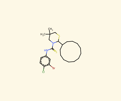 CC1(C)CSC(C2CCCCCCCCCCC2)N(C(=S)Nc2ccc(Cl)c(Br)c2)C1